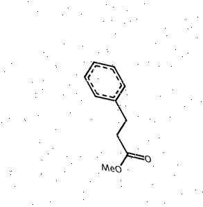 COC(=O)CCc1cc[c]cc1